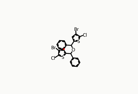 Clc1sc(C(OC(c2ccccc2)c2cc(Br)c(Cl)s2)c2ccccc2)cc1Br